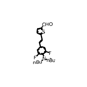 CCCCN(CCCC)c1c(F)cc(/C=C/c2ccc(C=O)s2)cc1F